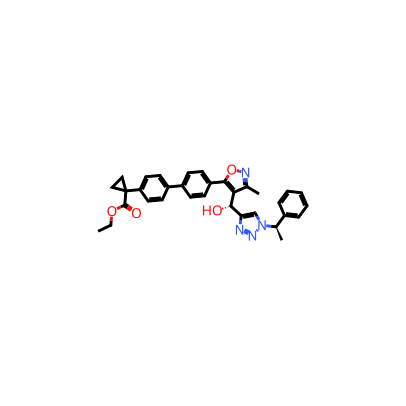 CCOC(=O)C1(c2ccc(-c3ccc(-c4onc(C)c4[C@@H](O)c4cn([C@H](C)c5ccccc5)nn4)cc3)cc2)CC1